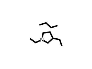 CCC1CCN(CC)C1.CCCC